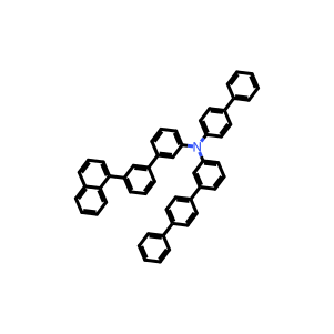 c1ccc(-c2ccc(-c3cccc(N(c4ccc(-c5ccccc5)cc4)c4cccc(-c5cccc(-c6cccc7ccccc67)c5)c4)c3)cc2)cc1